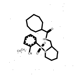 N#Cc1ccccc1S(=O)(=O)N1CCCCC1CNC(=O)[C]1CCCCCCC1.[CH2].[CH2]